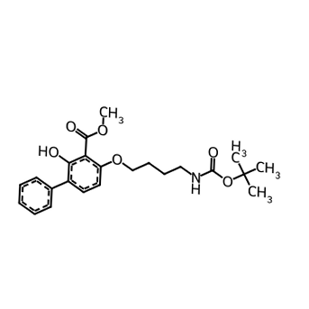 COC(=O)c1c(OCCCCNC(=O)OC(C)(C)C)ccc(-c2ccccc2)c1O